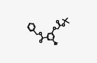 CC(C)(C)OC(=O)COc1cc(Br)cc(C(=O)OCc2ccccc2)c1